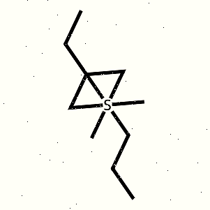 CCCS12(C)(C)CC1(CC)C2